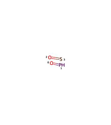 O=P.O=S